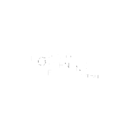 CC(C)(C)OC(=O)N1CC(NC(=O)[C@H]2C[C@H](Oc3cc(F)ccc3OC(F)F)C2)C1